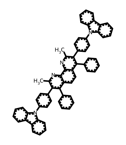 Cc1nc2c(ccc3c(-c4ccccc4)c(-c4ccc(-n5c6ccccc6c6ccccc65)cc4)c(C)nc32)c(-c2ccccc2)c1-c1ccc(-n2c3ccccc3c3ccccc32)cc1